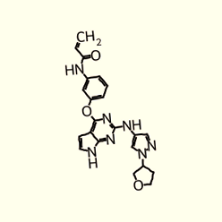 C=CC(=O)Nc1cccc(Oc2nc(Nc3cnn(C4CCOC4)c3)nc3[nH]ccc23)c1